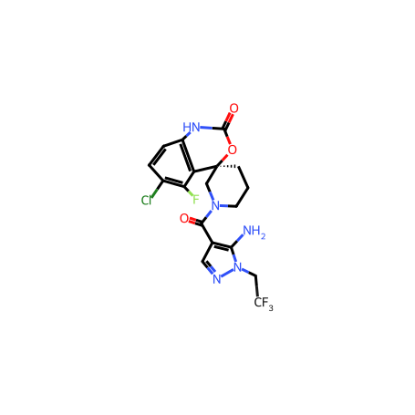 Nc1c(C(=O)N2CCC[C@@]3(C2)OC(=O)Nc2ccc(Cl)c(F)c23)cnn1CC(F)(F)F